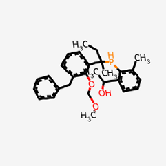 CCC(C)(Pc1c(C)cccc1C(C)O)c1cccc(Cc2ccccc2)c1OCOC